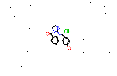 COc1ccc(CN2C3=NCCN3C(=O)c3ccccc32)cc1.Cl